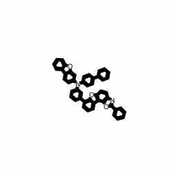 c1ccc(-c2ccc(N(c3cccc(-c4cccc5c4oc4ccc6nc(-c7ccccc7)oc6c45)c3)c3ccc4c(c3)oc3ccccc34)cc2)cc1